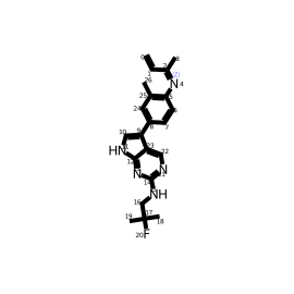 C=C/C(C)=N\c1ccc(-c2c[nH]c3nc(NCC(C)(C)F)ncc23)cc1C